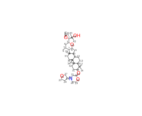 CCOC(C1CC(C)C2C(CC3C4CCC5C(C)(C)C(OC6CN(C7CCOC7)CCO6)CCC56CC46CCC32C)O1)C(C)(C)O